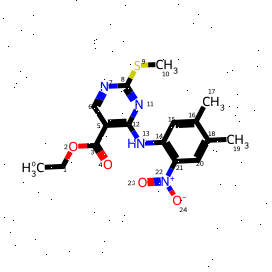 CCOC(=O)c1cnc(SC)nc1Nc1cc(C)c(C)cc1[N+](=O)[O-]